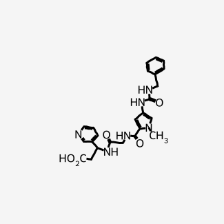 Cn1cc(NC(=O)NCc2ccccc2)cc1C(=O)NCC(=O)NC(CC(=O)O)c1cccnc1